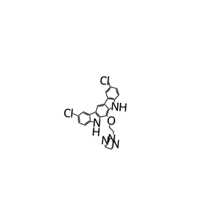 Clc1ccc2[nH]c3c(OCCn4nccn4)c4[nH]c5ccc(Cl)cc5c4cc3c2c1